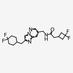 O=C(CC1CC(F)(F)C1)NCc1cnn2cc(CC3CCC(F)(F)CC3)nc2c1